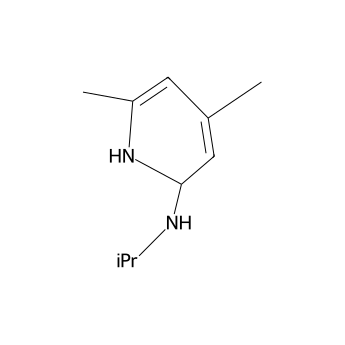 CC1=CC(NC(C)C)NC(C)=C1